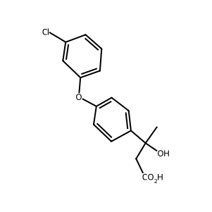 CC(O)(CC(=O)O)c1ccc(Oc2cccc(Cl)c2)cc1